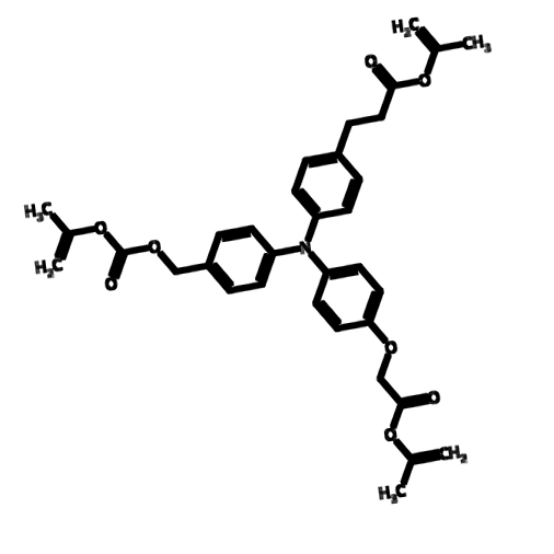 C=C(C)OC(=O)CCc1ccc(N(c2ccc(COC(=O)OC(=C)C)cc2)c2ccc(OCC(=O)OC(=C)C)cc2)cc1